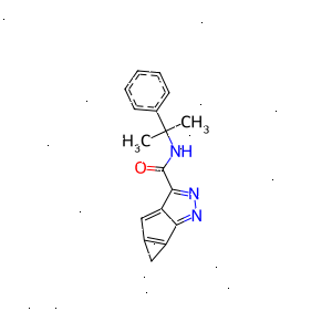 CC(C)(NC(=O)C1=NN=C2C1=CC1=C2C1)c1ccccc1